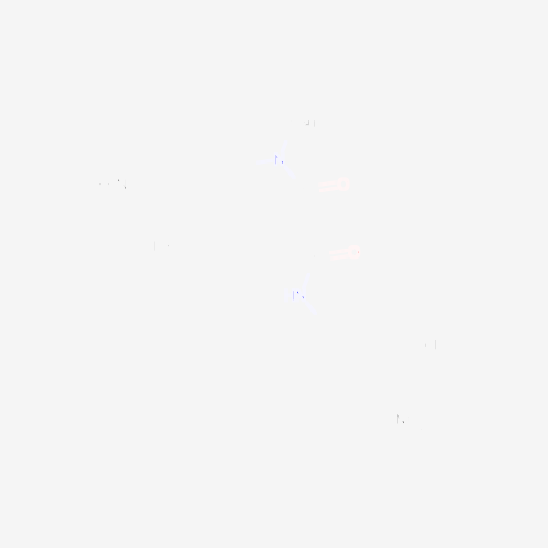 CCCCN(C(=O)CC(=O)Nc1ccc([N+](=O)[O-])c(C(F)(F)F)c1)c1ccc([N+](=O)[O-])c(C(F)(F)F)c1